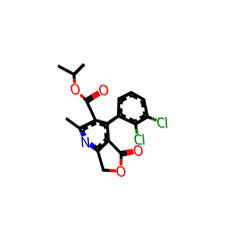 Cc1nc2c(c(-c3cccc(Cl)c3Cl)c1C(=O)OC(C)C)C(=O)OC2